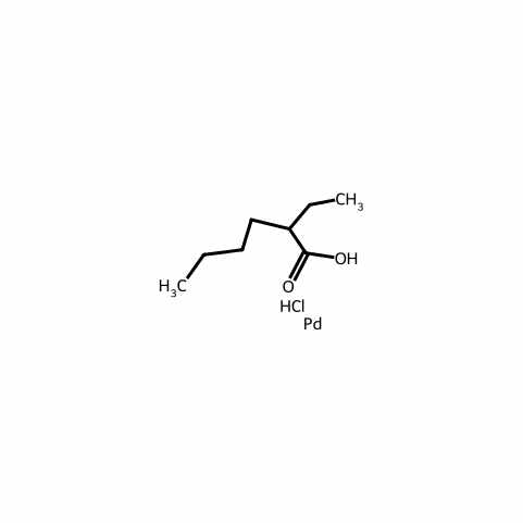 CCCCC(CC)C(=O)O.Cl.[Pd]